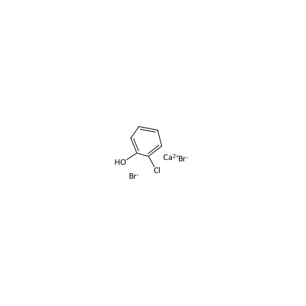 Oc1ccccc1Cl.[Br-].[Br-].[Ca+2]